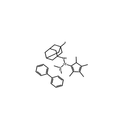 CC1=C(C)C(C)[C]([Hf]([NH]C23CC4CC(CC(F)(C4)C2)C3)[SiH](C)C)=C1C.c1ccc(-c2ccccc2)cc1